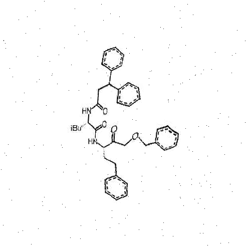 CCC(C)[C@H](NC(=O)CC(c1ccccc1)c1ccccc1)C(=O)N[C@@H](CCc1ccccc1)C(=O)COCc1ccccc1